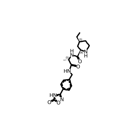 CC[C@H]1CCN[C@@H](C(=O)N[C@@H](C)C(=O)NCc2ccc(-c3noc(=O)[nH]3)cc2)C1